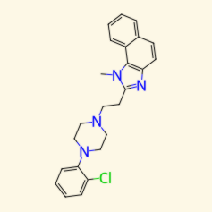 Cn1c(CCN2CCN(c3ccccc3Cl)CC2)nc2ccc3ccccc3c21